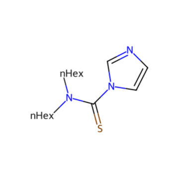 CCCCCCN(CCCCCC)C(=S)n1ccnc1